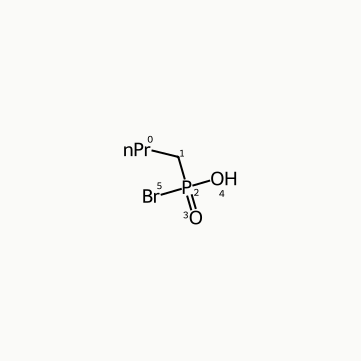 CCCCP(=O)(O)Br